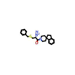 N[C@H](CSCc1ccccc1)C(=O)N1CCC2(CCc3ccccc32)CC1